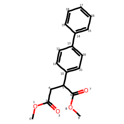 COC(=O)CC(C(=O)OC)c1ccc(-c2ccccc2)cc1